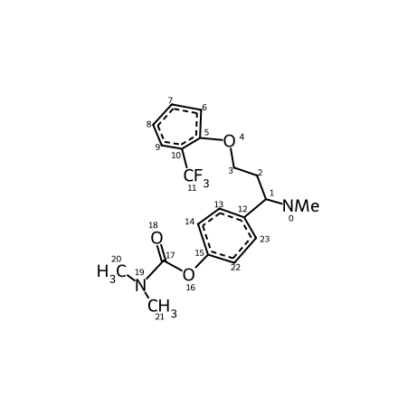 CNC(CCOc1ccccc1C(F)(F)F)c1ccc(OC(=O)N(C)C)cc1